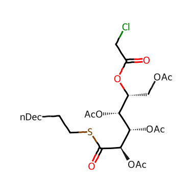 CCCCCCCCCCCCSC(=O)[C@H](OC(C)=O)[C@@H](OC(C)=O)[C@H](OC(C)=O)[C@@H](COC(C)=O)OC(=O)CCl